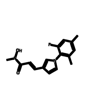 Cc1cc(C)c(-n2ccc(C=CC(=O)N(C)O)c2)c(F)c1